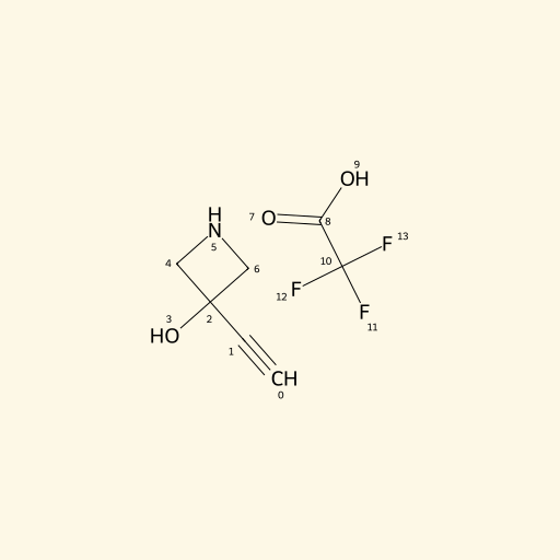 C#CC1(O)CNC1.O=C(O)C(F)(F)F